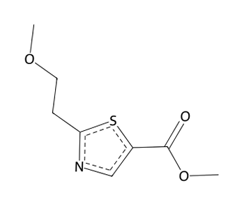 COCCc1ncc(C(=O)OC)s1